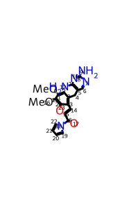 COc1cc(Cc2cnc(N)nc2N)c2cc(C(=O)n3cccc3)oc2c1OC